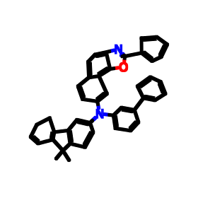 CC1(C)C2=C(CCC=C2)c2cc(N(c3cccc(-c4ccccc4)c3)c3ccc4ccc5nc(-c6ccccc6)oc5c4c3)ccc21